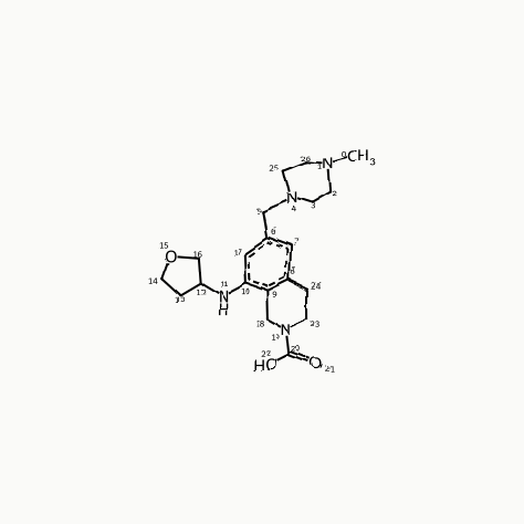 CN1CCN(Cc2cc3c(c(NC4CCOC4)c2)CN(C(=O)O)CC3)CC1